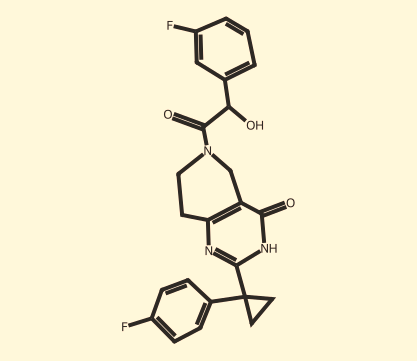 O=C(C(O)c1cccc(F)c1)N1CCc2nc(C3(c4ccc(F)cc4)CC3)[nH]c(=O)c2C1